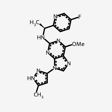 COc1nc(N[C@@H](C)c2ccc(F)cn2)nc2c1ncn2-c1cc(C)[nH]n1